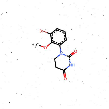 COc1c(Br)cccc1N1CCC(=O)NC1=O